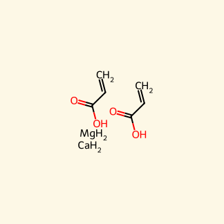 C=CC(=O)O.C=CC(=O)O.[CaH2].[MgH2]